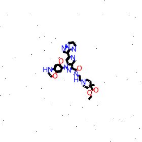 CCOC(=O)C1(C)CCN(CCNC(=O)c2nn(-c3cc4c(cc3OC)NCCO4)c3cc(-c4cnn5cccnc45)ncc23)CC1